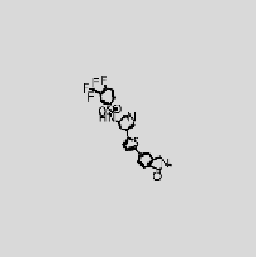 CN1Cc2cc(-c3ccc(-c4cncc(NS(=O)(=O)c5ccc(F)c(C(F)(F)F)c5)c4)s3)ccc2C1=O